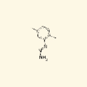 Cc1ccc(C)c(/N=N/N)c1